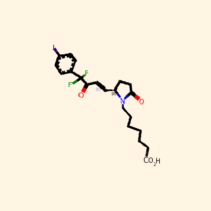 O=C(O)CCCCCCN1C(=O)CC[C@@H]1/C=C/C(=O)C(F)(F)c1ccc(I)cc1